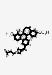 Cc1cccc(C2=C(c3ccc(C=C4CN(CCC(F)F)C4)cc3)c3ccc(C(=O)O)cc3CCC2)c1C(F)(F)F